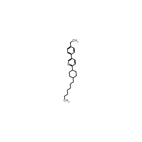 CCCCCCCC1CCC(c2ccc(-c3ccc(CC)cc3)cn2)CC1